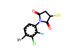 CC(C)c1ccc(N2C(=O)CC(S)C2=O)c(F)c1Cl